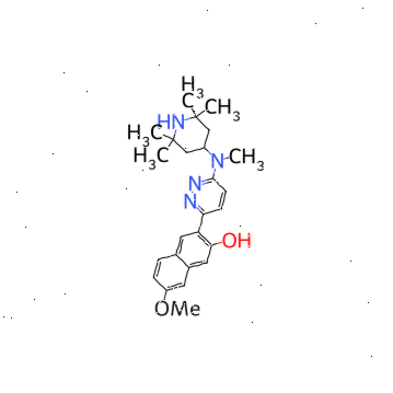 COc1ccc2cc(-c3ccc(N(C)C4CC(C)(C)NC(C)(C)C4)nn3)c(O)cc2c1